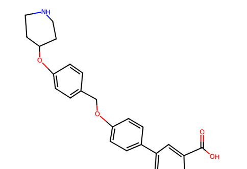 O=C(O)c1cccc(-c2ccc(OCc3ccc(OC4CCNCC4)cc3)cc2)c1